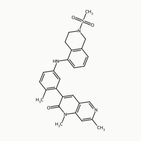 Cc1cc2c(cn1)cc(-c1cc(Nc3cccc4c3CCN(S(C)(=O)=O)C4)ccc1C)c(=O)n2C